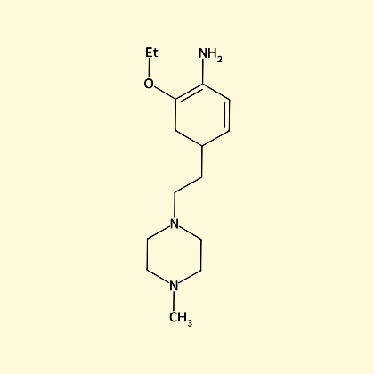 CCOC1=C(N)C=CC(CCN2CCN(C)CC2)C1